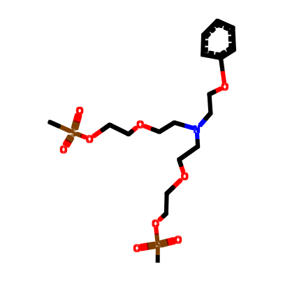 CS(=O)(=O)OCCOCCN(CCOCCOS(C)(=O)=O)CCOc1ccccc1